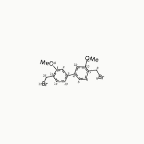 COc1cc(-c2ccc(CBr)c(OC)c2)ccc1CBr